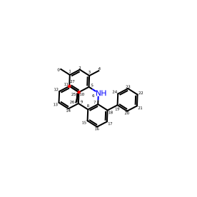 Cc1cc(C)c(Nc2c(-c3ccccc3)cccc2-c2ccccc2)c(C)c1